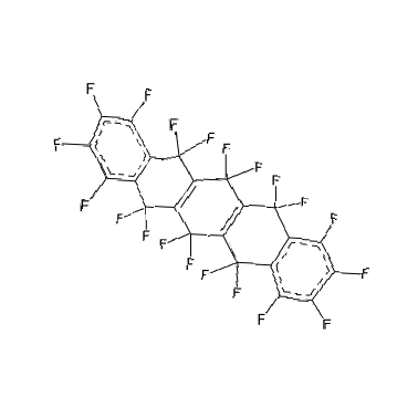 Fc1c(F)c(F)c2c(c1F)C(F)(F)C1=C(C(F)(F)C3=C(C1(F)F)C(F)(F)c1c(F)c(F)c(F)c(F)c1C3(F)F)C2(F)F